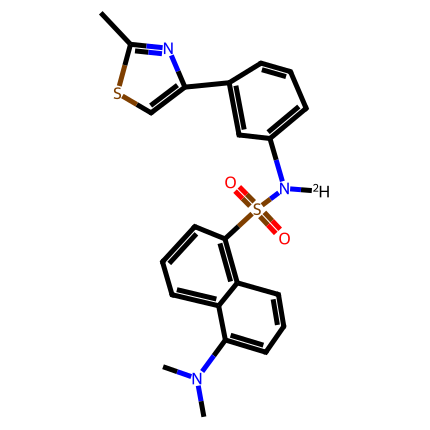 [2H]N(c1cccc(-c2csc(C)n2)c1)S(=O)(=O)c1cccc2c(N(C)C)cccc12